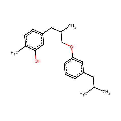 Cc1ccc(CC(C)COc2cccc(CC(C)C)c2)cc1O